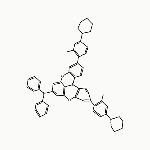 Cc1cc(C2CCCCC2)ccc1-c1ccc2c(c1)Oc1cc(N(c3ccccc3)c3ccccc3)cc3c1B2c1ccc(-c2ccc(C4CCCCC4)cc2C)cc1O3